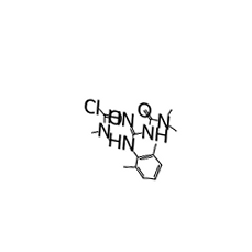 CN(C)C(=O)Cl.Cc1cccc(C)c1NC(=N)NC(=O)N(C)C